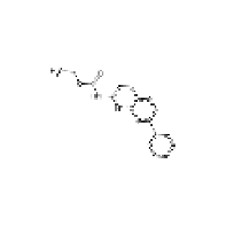 CCOC(=O)Nc1ccc2ncc(-c3ccccc3)nc2n1